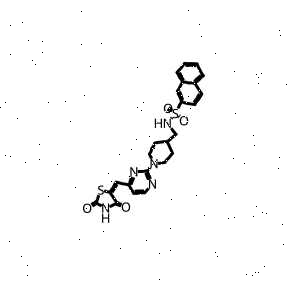 O=C1NC(=O)/C(=C\c2ccnc(N3CCC(CNS(=O)(=O)c4ccc5ccccc5c4)CC3)n2)S1